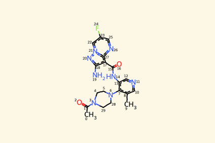 CC(=O)N1CCN(c2c(C)cncc2NC(=O)c2c(N)nn3cc(F)cnc23)CC1